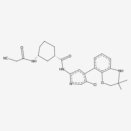 CC1(C)COc2c(cccc2-c2cc(NC(=O)[C@H]3CCC[C@@H](NC(=O)CC#N)C3)ncc2Cl)N1